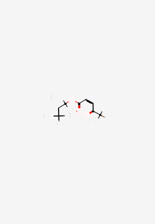 CC(C)(C)CC(C)(C)OC(=O)/C=C\C(=O)C(C)(C)S